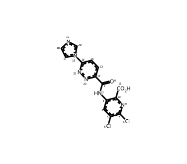 O=C(Nc1cc(Cl)c(Cl)nc1C(=O)O)c1ccc(-n2ccnc2)nn1